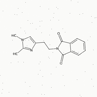 [CH]c1nc(CCN2C(=O)c3ccccc3C2=O)cn1[CH]